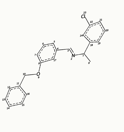 CC(N=Cc1cccc(OCc2ccccc2)c1)c1cccc(Cl)c1